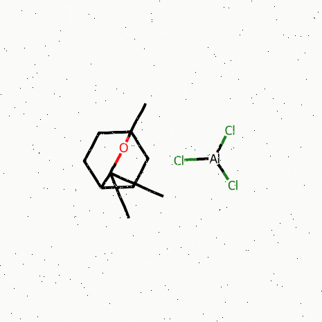 CC12CCC(CC1)C(C)(C)O2.[Cl][Al]([Cl])[Cl]